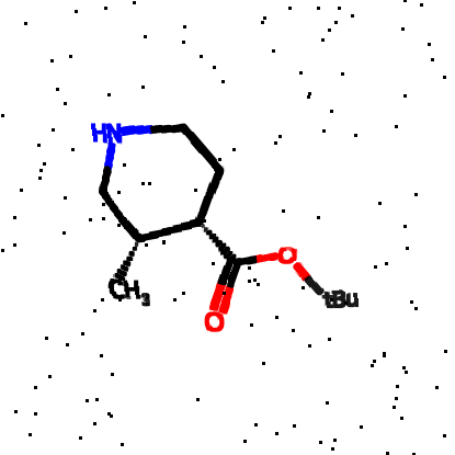 C[C@@H]1CNCC[C@@H]1C(=O)OC(C)(C)C